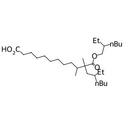 CCCCC(CC)COC(=O)C(C)(CC(CC)CCCC)C(C)CCCCCCCCC(=O)O